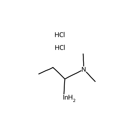 CC[CH]([InH2])N(C)C.Cl.Cl